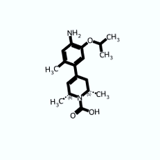 Cc1cc(N)c(OC(C)C)cc1C1=C[C@@H](C)N(C(=O)O)[C@@H](C)C1